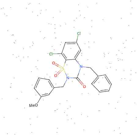 COc1cccc(CN2C(=O)N(Cc3ccccc3)c3cc(Cl)cc(Cl)c3S2(=O)=O)c1